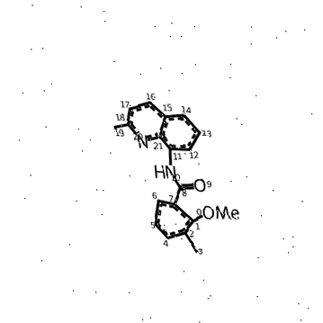 COc1c(C)cccc1C(=O)Nc1cccc2ccc(C)nc12